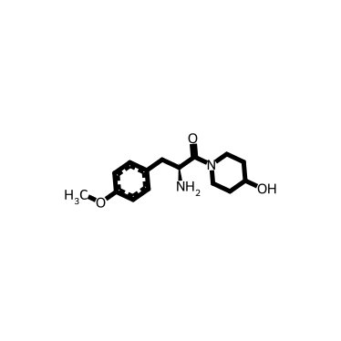 COc1ccc(C[C@H](N)C(=O)N2CCC(O)CC2)cc1